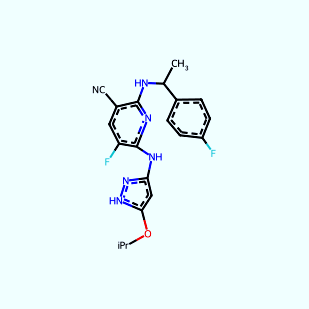 CC(C)Oc1cc(Nc2nc(NC(C)c3ccc(F)cc3)c(C#N)cc2F)n[nH]1